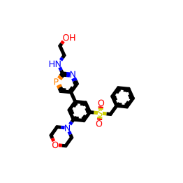 O=S(=O)(Cc1ccccc1)c1cc(-c2cnc(NCCO)pc2)cc(N2CCOCC2)c1